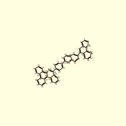 c1cnc2c(c1)cc(-c1ccc3nc(-c4ccc(-c5nc6c7ccccc7c7ccccc7c6c6ccccc56)cc4)ccc3c1)c1cccnc12